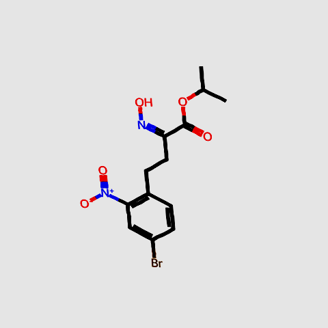 CC(C)OC(=O)C(CCc1ccc(Br)cc1[N+](=O)[O-])=NO